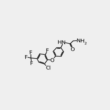 NCC(=O)Nc1ccc(Oc2c(F)cc(C(F)(F)F)cc2Cl)cc1